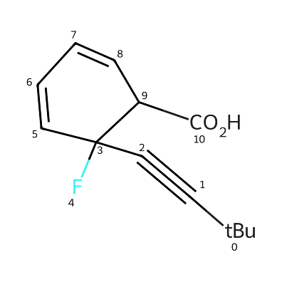 CC(C)(C)C#CC1(F)C=CC=CC1C(=O)O